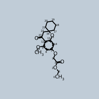 CCOC(=O)COc1cc(OC)c2c(c1)OC1(CCCCC1)CC2=O